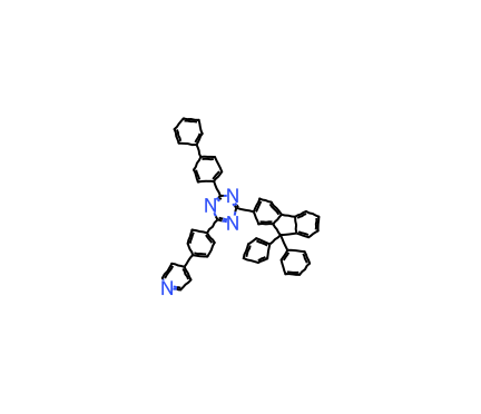 c1ccc(-c2ccc(-c3nc(-c4ccc(-c5ccncc5)cc4)nc(-c4ccc5c(c4)C(c4ccccc4)(c4ccccc4)c4ccccc4-5)n3)cc2)cc1